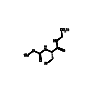 CCOC(=O)CNC(=O)[C@H](CC(C)C)NC(=O)OC(C)(C)C